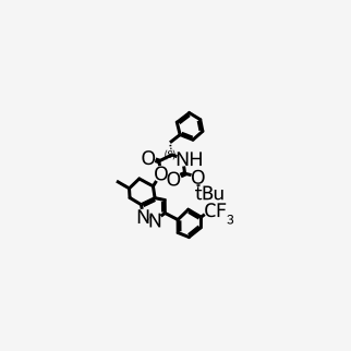 CC1Cc2nnc(-c3cccc(C(F)(F)F)c3)cc2C(OC(=O)[C@H](Cc2ccccc2)NC(=O)OC(C)(C)C)C1